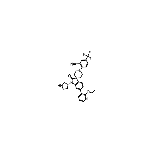 CCOc1ncccc1-c1ccc2c(c1)N([C@@H]1CCNC1)C(=O)C21CCN(c2ccc(C(F)(F)F)cc2C#N)CC1